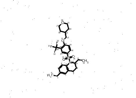 CCc1ccc2c(c1)CCC(CC)N2S(=O)(=O)c1ccc(OCC2CCOCC2)c(C(F)(F)F)c1